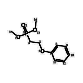 COP(=O)(CCOc1ccccc1)OC